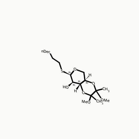 CCCCCCCCCCCCS[C@H]1OC[C@H]2OC(C)(OC)C(C)(OC)O[C@@H]2[C@H]1O